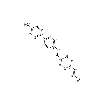 N#Cc1ccc(-c2ccc(CCC3CCC(/C=C/Br)CC3)cc2)cc1